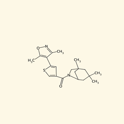 Cc1noc(C)c1-c1cc(C(=O)N2CC3(C)CC2CC(C)(C)C3)cs1